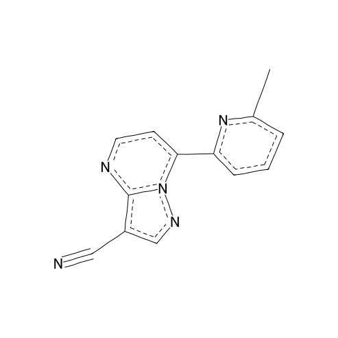 Cc1cccc(-c2ccnc3c(C#N)cnn23)n1